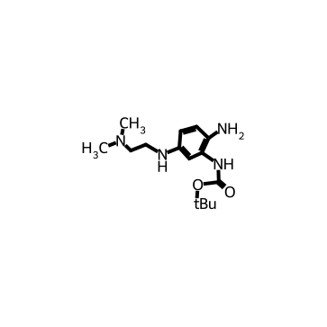 CN(C)CCNc1ccc(N)c(NC(=O)OC(C)(C)C)c1